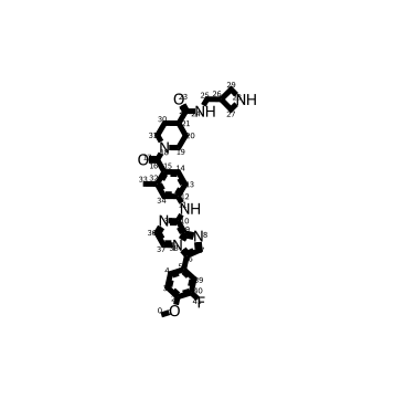 COc1ccc(-c2cnc3c(Nc4ccc(C(=O)N5CCC(C(=O)NCC6CNC6)CC5)c(C)c4)nccn23)cc1F